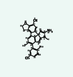 CN1C(=O)C(c2cc(C#N)c3c(c2)CCO3)(c2ccc(F)c(-c3cc(Cl)cnc3F)c2)N=C1N